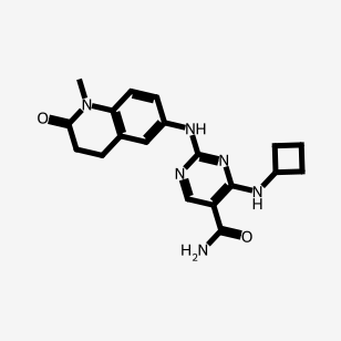 CN1C(=O)CCc2cc(Nc3ncc(C(N)=O)c(NC4CCC4)n3)ccc21